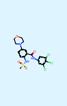 CS(=O)(=O)Nc1ccc(N2CCOCC2)cc1C(=O)Nc1cc(Cl)c(Cl)c(Cl)c1